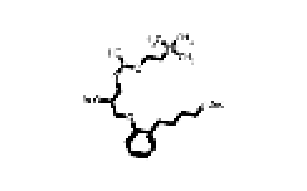 CCCCCCCCCCCCCCc1ccccc1OCC(COP(O)OCC[N+](C)(C)C)OC(C)=O